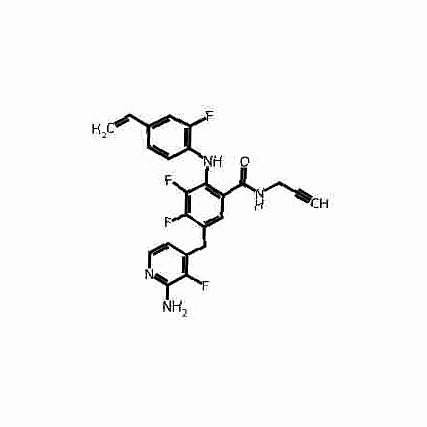 C#CCNC(=O)c1cc(Cc2ccnc(N)c2F)c(F)c(F)c1Nc1ccc(C=C)cc1F